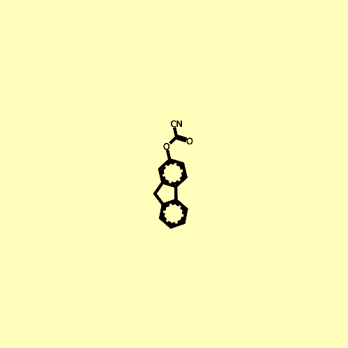 N#CC(=O)Oc1ccc2c(c1)Cc1ccccc1-2